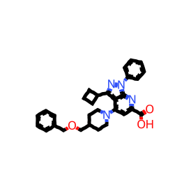 O=C(O)c1cc(N2CCC(COCc3ccccc3)CC2)c2c(C3CCC3)nn(-c3ccccc3)c2n1